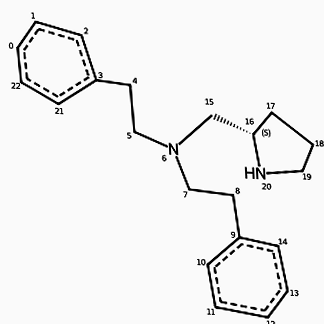 c1ccc(CCN(CCc2ccccc2)C[C@@H]2CCCN2)cc1